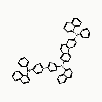 c1ccc(N(c2ccc(-c3ccc(N(c4ccc5c(ccc6cc(N(c7ccccc7)c7cccc8ccccc78)ccc65)c4)c4cccc5ccccc45)cc3)cc2)c2cccc3ccccc23)cc1